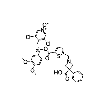 COc1ccc([C@H](Cc2c(Cl)c[n+]([O-])cc2Cl)OC(=O)c2ccc(CN3CC(C(=O)O)(c4ccccc4)C3)s2)cc1OC